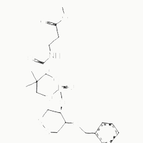 COC(=O)CCNC(=O)[C@@H]1OP(=O)(O[C@@H]2CSSCC2OCc2ccccc2)OCC1(C)C